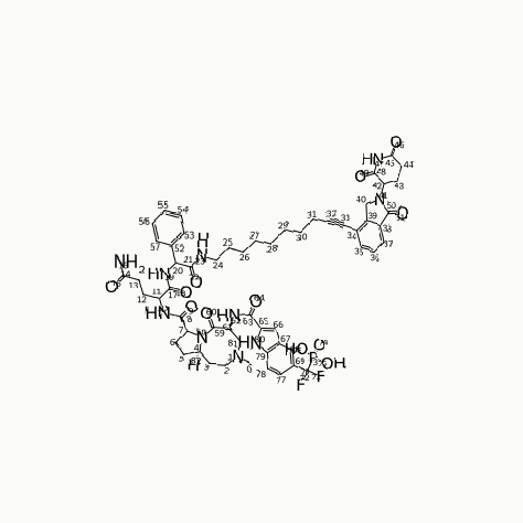 CN1CC[C@H]2CC[C@@H](C(=O)NC(CCC(N)=O)C(=O)NC(C(=O)NCCCCCCCCC#Cc3cccc4c3CN(C3CCC(=O)NC3=O)C4=O)c3ccccc3)N2C(=O)[C@@H](NC(=O)c2cc3cc(C(F)(F)P(=O)(O)O)ccc3[nH]2)C1